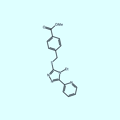 CCn1c(SCc2ccc(C(=O)OC)cc2)nnc1-c1ccccn1